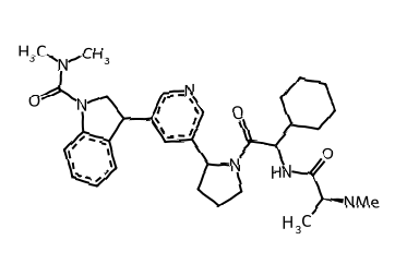 CN[C@@H](C)C(=O)NC(C(=O)N1CCCC1c1cncc(C2CN(C(=O)N(C)C)c3ccccc32)c1)C1CCCCC1